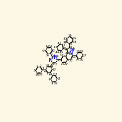 c1ccc(-c2cc(-c3ccccc3)cc(-c3cc(-c4ccc5cc(-c6ccccc6)n6nc(-c7ccccc7)c(-c7ccccc7)c6c5c4)nc(-c4ccccc4)n3)c2)cc1